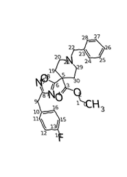 CCOC(=O)C1(c2nc(Cc3ccc(F)cc3)no2)CCN(Cc2ccccc2)CC1